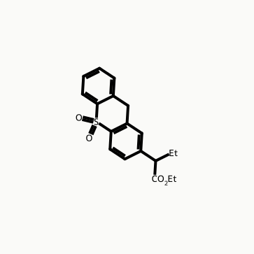 CCOC(=O)C(CC)c1ccc2c(c1)Cc1ccccc1S2(=O)=O